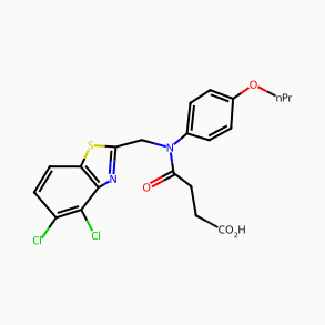 CCCOc1ccc(N(Cc2nc3c(Cl)c(Cl)ccc3s2)C(=O)CCC(=O)O)cc1